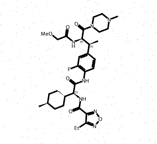 CCc1nonc1C(=O)N[C@H](C(=O)Nc1ccc([C@H](C)[C@@H](NC(=O)COC)C(=O)N2CCN(C)CC2)cc1F)[C@H]1CC[C@H](C)CC1